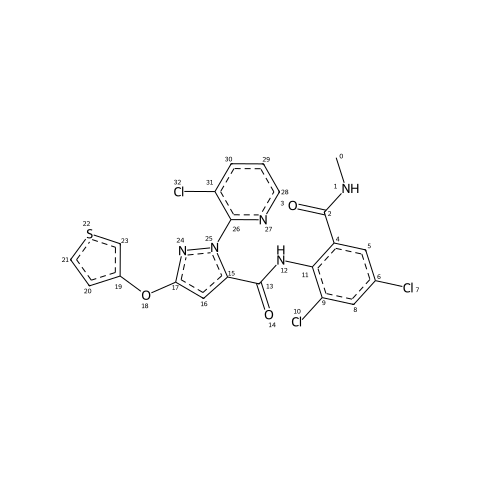 CNC(=O)c1cc(Cl)cc(Cl)c1NC(=O)c1cc(Oc2ccsc2)nn1-c1ncccc1Cl